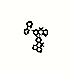 CC1(C)c2cc3c(cc2-c2cccc4cccc1c24)c1cc(-n2c4ccccc4c4ccccc42)cc2c1n3-c1ccccc1C2(C)C